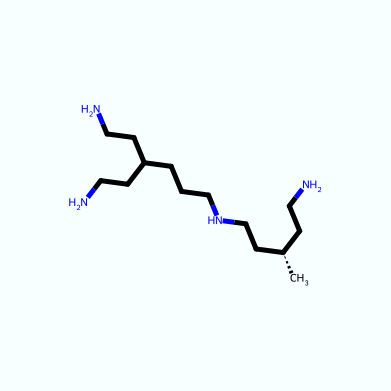 C[C@@H](CCN)CCNCCCC(CCN)CCN